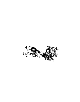 C=CCOC1(C)CCN(c2c(C(OC(C)(C)C)C(=O)O)c(C)nc3cc(COCCc4ccc(C)cc4O[C@@H](C)CC=C)nn23)CC1